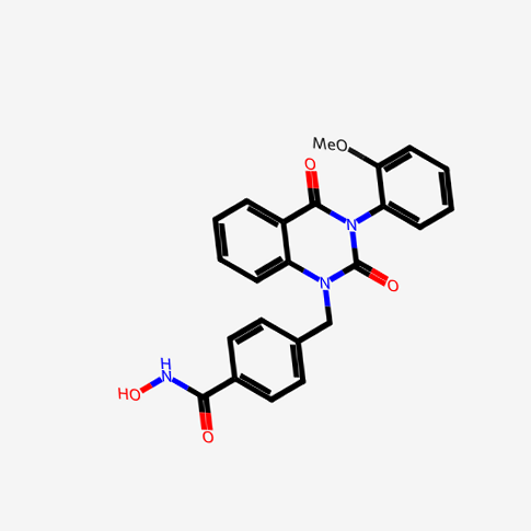 COc1ccccc1-n1c(=O)c2ccccc2n(Cc2ccc(C(=O)NO)cc2)c1=O